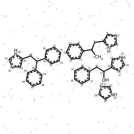 CC(Cc1cnc[nH]1)c1ccccc1.OC(Cc1ccccc1)c1c[nH]cn1.c1c[nH]cn1.c1ccc(C(Cc2cnc[nH]2)c2ccccc2)cc1